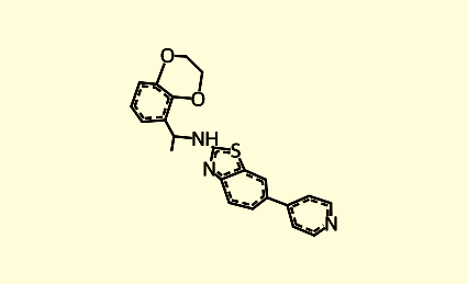 CC(Nc1nc2ccc(-c3ccncc3)cc2s1)c1cccc2c1OCCO2